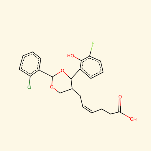 O=C(O)CC/C=C\CC1COC(c2ccccc2Cl)OC1c1cccc(F)c1O